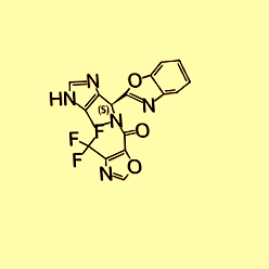 O=C(c1ocnc1C(F)(F)F)N1Cc2[nH]cnc2[C@H]1c1nc2ccccc2o1